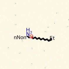 CC/C=C\CCCCCCCCOC[C@@H](N)CCCCCCCCC